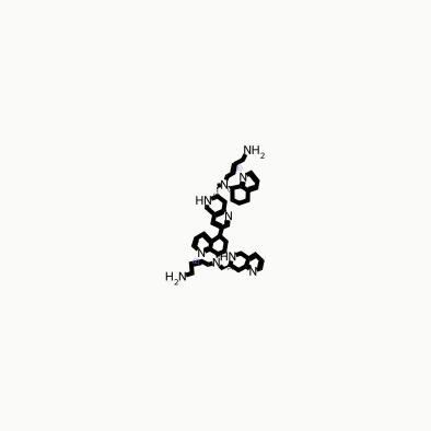 NC/C=C\CN(C[C@@H]1Cc2ncccc2CN1)[C@H]1CCC(c2cnc3c(c2)CN[C@H](CN(C/C=C/CN)[C@H]2CCCc4cccnc42)C3)c2cccnc21